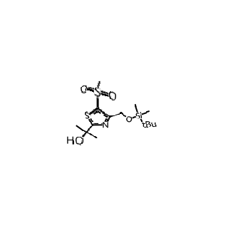 CC(C)(O)c1nc(CO[Si](C)(C)C(C)(C)C)c(S(C)(=O)=O)s1